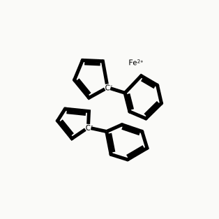 [Fe+2].c1ccc(-[c-]2cccc2)cc1.c1ccc(-[c-]2cccc2)cc1